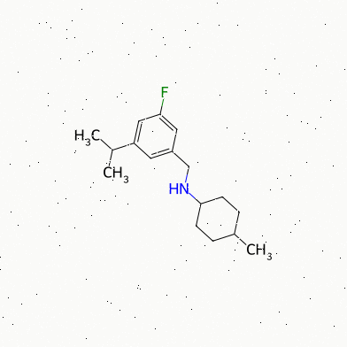 CC1CCC(NCc2cc(F)cc(C(C)C)c2)CC1